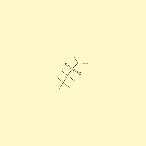 CC(C)S(=O)(=O)C(C)(C)C(C)(C)C